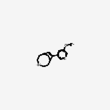 CC(C)Oc1cncc(C2=CC3CCNCCC2C3)c1